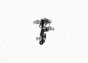 CCCC[N+](CCCC)(CCCC)C(CCC)OS(=O)(=O)CC[C@@H]1C[C@@H](n2ccc3c(N[C@H]4CCc5ccccc54)ncnc32)C[C@@H]1O[Si](C)(C)C(C)(C)C